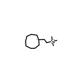 C[Si](C)(C)CC[C]1CCCCCCCC1